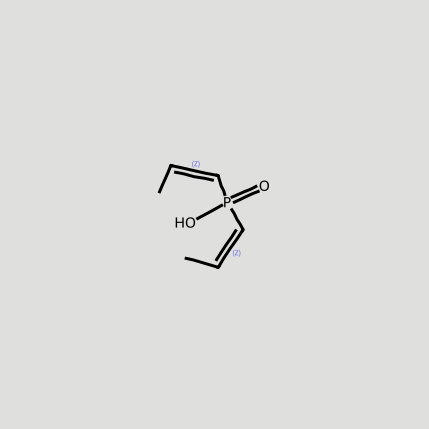 C/C=C\P(=O)(O)/C=C\C